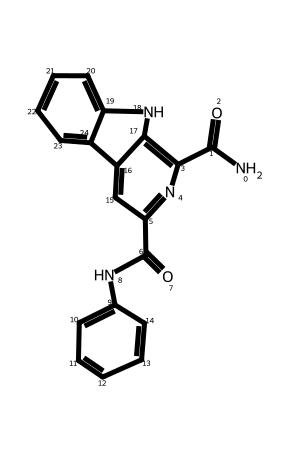 NC(=O)c1nc(C(=O)Nc2ccccc2)cc2c1[nH]c1ccccc12